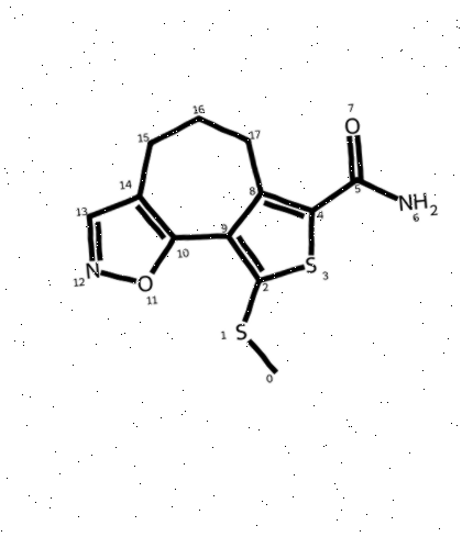 CSc1sc(C(N)=O)c2c1-c1oncc1CCC2